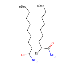 CCCCCCCCCCCCCCCCC(CC)C(N)=O.CCCCCCCCCCCCCCCCCC(N)=O